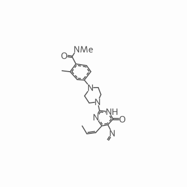 C=Nc1c(/C=C\C)nc(N2CCN(c3ccc(C(=O)NC)c(C)c3)CC2)[nH]c1=O